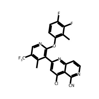 Cc1c(Oc2ncc(C(F)(F)F)c(C)c2-c2cc(Cl)c3c(C#N)nccc3n2)ccc(F)c1F